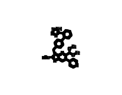 CCCCc1nc2cc(-c3ccncc3)c(C(OCC)OCC)nc2n1Cc1ccc(-c2ccccc2-c2nnn[nH]2)cc1